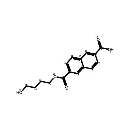 O=C(O)c1ccc2cc(C(=O)OCCCCO)ccc2c1